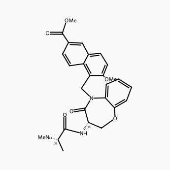 CN[C@@H](C)C(=O)N[C@H]1COc2ccccc2N(Cc2c(OC)ccc3cc(C(=O)OC)ccc23)C1=O